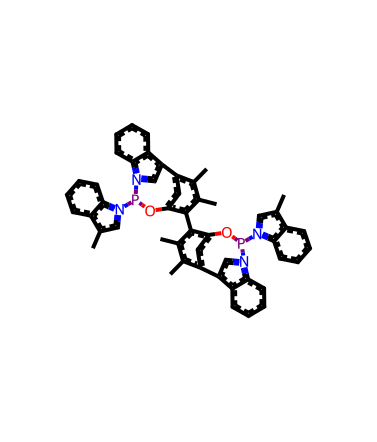 Cc1c2cc(c(-c3c4cc(c(C)c3C)-c3cn(c5ccccc35)P(n3cc(C)c5ccccc53)O4)c1C)OP(n1cc(C)c3ccccc31)n1cc-2c2ccccc21